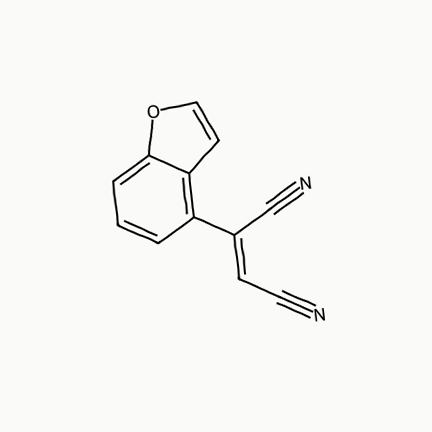 N#C/C=C(\C#N)c1cccc2occc12